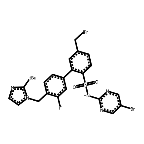 CC(C)Cc1ccc(S(=O)(=O)Nc2ncc(Br)cn2)c(-c2ccc(Cn3ccnc3C(C)(C)C)c(F)c2)c1